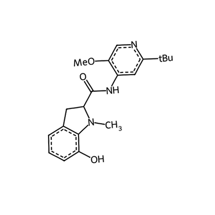 COc1cnc(C(C)(C)C)cc1NC(=O)C1Cc2cccc(O)c2N1C